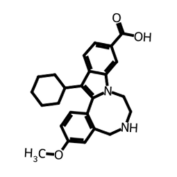 COc1ccc2c(c1)CNCCn1c-2c(C2CCCCC2)c2ccc(C(=O)O)cc21